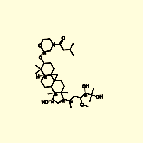 COC(C[C@@H](C)[C@H]1C[C@H](O)[C@@]2(C)C3CC[C@H]4C(C)(C)C(O[C@H]5CN(C(=O)CC(C)C)CCO5)CCC45CC35CCC12C)[C@H](O)C(C)(C)O